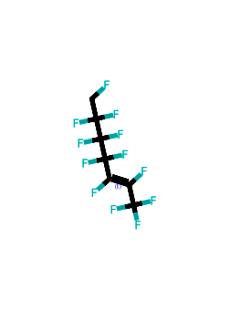 FCC(F)(F)C(F)(F)C(F)(F)/C(F)=C(\F)C(F)(F)F